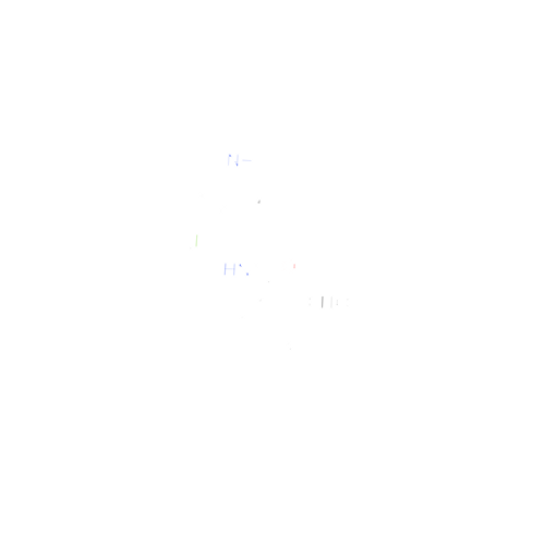 O=Cc1ccccc1C(=O)NCC(F)=C1CCNCC1